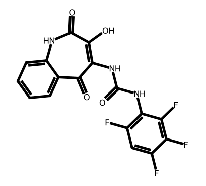 O=C(Nc1c(F)cc(F)c(F)c1F)Nc1c(O)c(=O)[nH]c2ccccc2c1=O